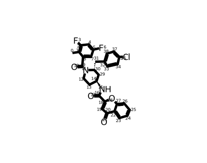 Cc1c(F)cc(F)cc1C(=O)N1CC[C@H](NC(=O)c2cc(=O)c3ccccc3o2)C[C@H]1Cc1ccc(Cl)cc1